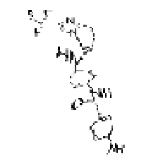 CNc1ccc(C(=O)Nc2ccc(Nc3cccc4nc(C(F)(F)F)cn34)cc2)cc1